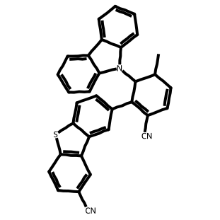 CC1C=CC(C#N)=C(c2ccc3sc4ccc(C#N)cc4c3c2)C1n1c2ccccc2c2ccccc21